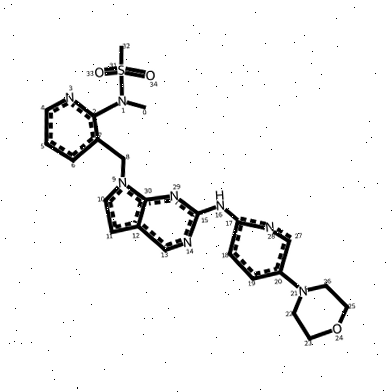 CN(c1ncccc1Cn1ccc2cnc(Nc3ccc(N4CCOCC4)cn3)nc21)S(C)(=O)=O